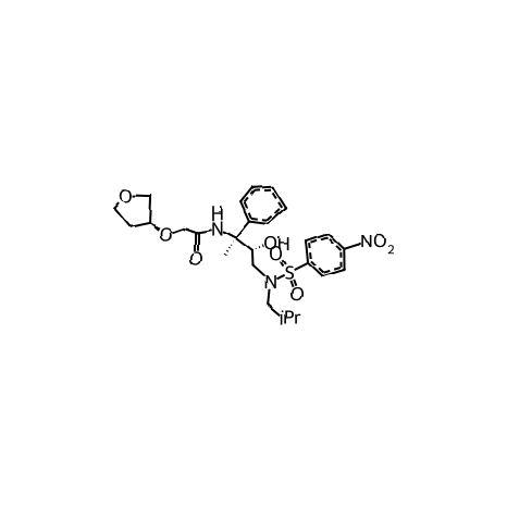 CC(C)CN(C[C@@H](O)[C@@](C)(NC(=O)CO[C@H]1CCOC1)c1ccccc1)S(=O)(=O)c1ccc([N+](=O)[O-])cc1